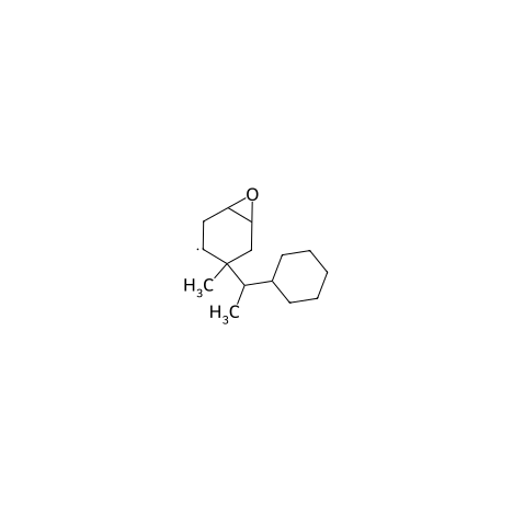 CC(C1CCCCC1)C1(C)[CH]CC2OC2C1